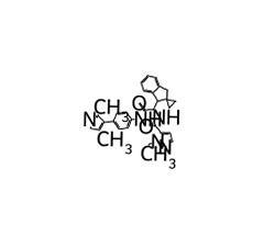 CCn1nccc1C(=O)N[C@H](C(=O)Nc1ccc(C2=C(C)CN=C2C)cc1)C1c2ccccc2CC12CC2